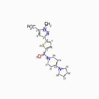 Cc1cc(-c2ccc(C(=O)N3CCC(N4CCCC4)CC3)s2)nn1C